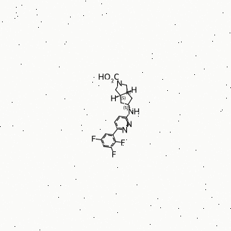 O=C(O)N1C[C@H]2C[C@H](Nc3ccc(-c4cc(F)cc(F)c4F)nn3)C[C@H]2C1